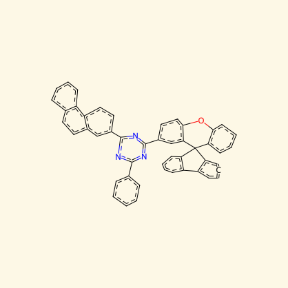 c1ccc(-c2nc(-c3ccc4c(c3)C3(c5ccccc5O4)c4ccccc4-c4ccccc43)nc(-c3ccc4c(ccc5ccccc54)c3)n2)cc1